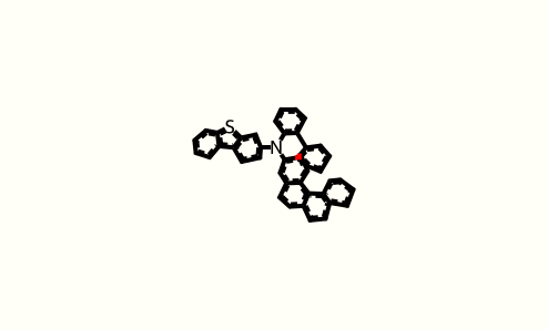 c1ccc(-c2ccccc2N(c2ccc3c(ccc4ccc5ccccc5c43)c2)c2ccc3c(c2)sc2ccccc23)cc1